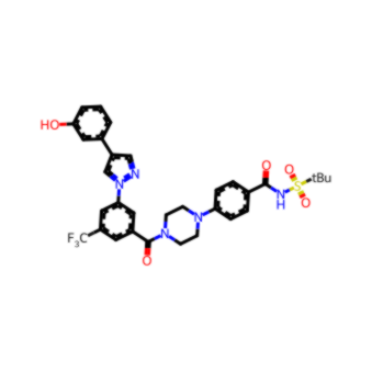 CC(C)(C)S(=O)(=O)NC(=O)c1ccc(N2CCN(C(=O)c3cc(-n4cc(-c5cccc(O)c5)cn4)cc(C(F)(F)F)c3)CC2)cc1